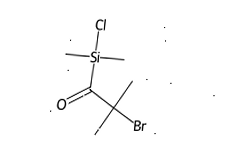 CC(C)(Br)C(=O)[Si](C)(C)Cl